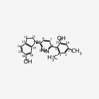 Cc1cc(C)c(-c2ccc(N3CCc4ccc(O)cc43)nn2)c(O)c1